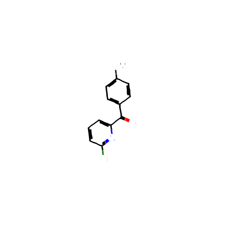 COc1ccc(C(=O)c2cccc(Cl)n2)cc1